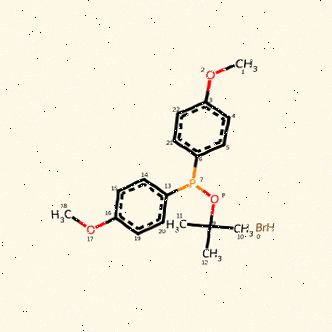 Br.COc1ccc(P(OC(C)(C)C)c2ccc(OC)cc2)cc1